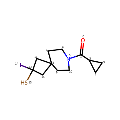 O=C(C1CC1)N1CCC2(CC1)CC(S)(I)C2